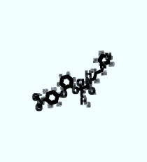 CC(C)(Oc1ccccc1Oc1ccc([N+](=O)[O-])cc1)C(=O)NCCCn1ccnc1